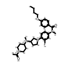 CCCCOc1ccc(C(=O)N(C)c2ccc(N3CCC(N(C)C4CCN(C(C)=O)CC4)C3)c(F)c2)cc1